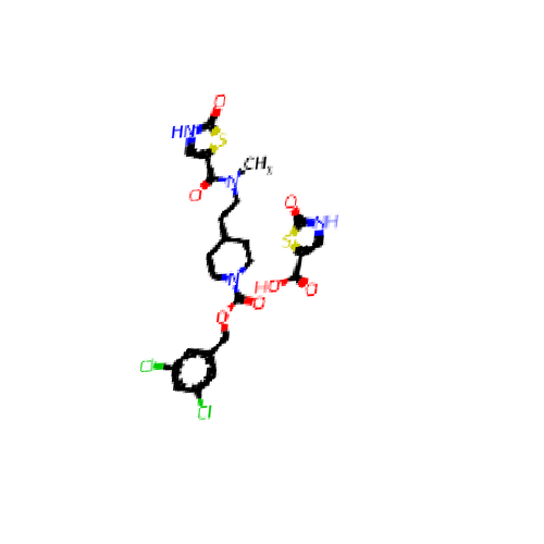 CN(CCC1CCN(C(=O)OCc2cc(Cl)cc(Cl)c2)CC1)C(=O)c1c[nH]c(=O)s1.O=C(O)c1c[nH]c(=O)s1